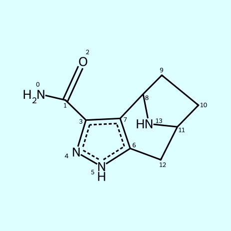 NC(=O)c1n[nH]c2c1C1CCC(C2)N1